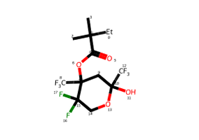 CCC(C)(C)C(=O)OC1(C(F)(F)F)CC(O)(C(F)(F)F)OCC1(F)F